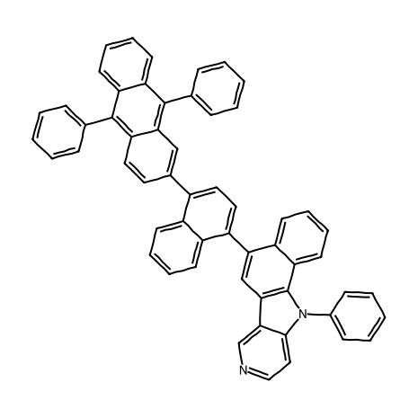 c1ccc(-c2c3ccccc3c(-c3ccccc3)c3cc(-c4ccc(-c5cc6c7cnccc7n(-c7ccccc7)c6c6ccccc56)c5ccccc45)ccc23)cc1